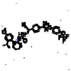 COc1ccc(N2CCCS/C2=N\C(=O)NCC(C#N)c2ccc(-c3ncn(-c4ccc(OC(F)(F)F)cc4)n3)cc2)c(C(C)C)c1